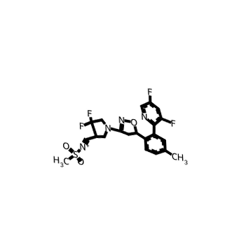 Cc1ccc(C2CC(N3CC(C#[N+]S(C)(=O)=O)C(F)(F)C3)=NO2)c(-c2ncc(F)cc2F)c1